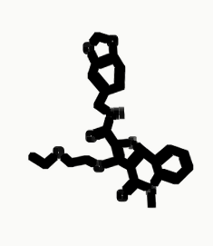 CCOCCOc1c(C(=O)NCc2ccc3c(c2)OCO3)sc2c1c(=O)n(C)c1ccccc21